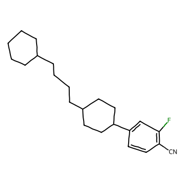 N#Cc1ccc(C2CCC(CCCCC3CCCCC3)CC2)cc1F